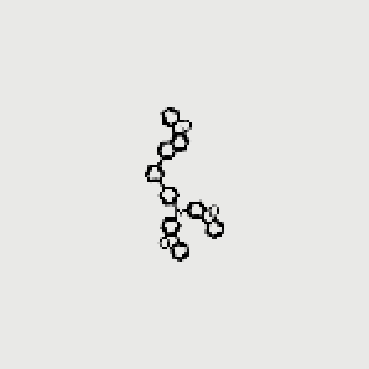 C1=CC2Oc3ccc4cc(-c5cccc(C6C=CC(N(c7ccc8oc9ccccc9c8c7)c7ccc8oc9ccccc9c8c7)=CC6)c5)ccc4c3C2C=C1